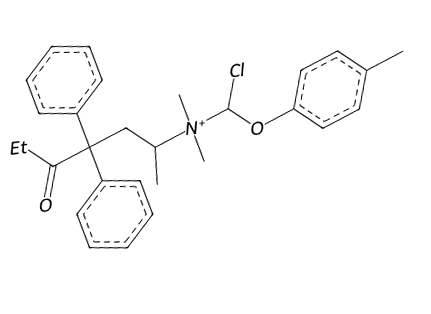 CCC(=O)C(CC(C)[N+](C)(C)C(Cl)Oc1ccc(C)cc1)(c1ccccc1)c1ccccc1